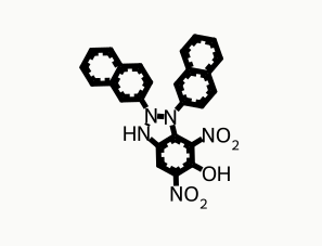 O=[N+]([O-])c1cc2c(c([N+](=O)[O-])c1O)N(c1ccc3ccccc3c1)N(c1ccc3ccccc3c1)N2